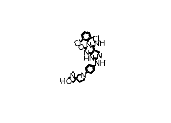 CN(C)C1(CO)CCN(c2ccc(Nc3ncc4c(=N)n(-c5c(Cl)cccc5Cl)c(=O)[nH]c4n3)cc2)C1